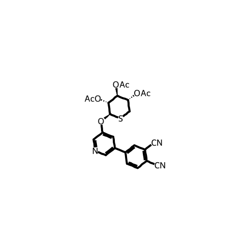 CC(=O)O[C@@H]1[C@@H](OC(C)=O)[C@H](OC(C)=O)CS[C@H]1Oc1cncc(-c2ccc(C#N)c(C#N)c2)c1